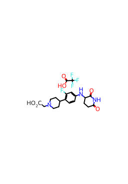 O=C(O)C(F)(F)F.O=C(O)CN1CCC(c2ccc(NC3CCC(=O)NC3=O)cc2F)CC1